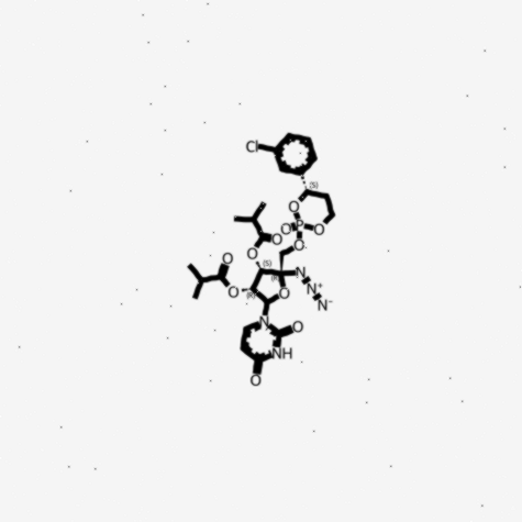 CC(C)C(=O)O[C@H]1C(n2ccc(=O)[nH]c2=O)O[C@@](COP2(=O)OCC[C@@H](c3cccc(Cl)c3)O2)(N=[N+]=[N-])[C@H]1OC(=O)C(C)C